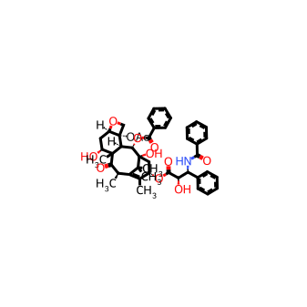 CC(=O)O[C@@]12CO[C@@H]1C[C@H](O)C1(C)C(=O)[C@H](C)C3=C(C)[C@@H](OC(=O)[C@H](O)[C@@H](NC(=O)c4ccccc4)c4ccccc4)C[C@@](O)([C@@H](OC(=O)c4ccccc4)[C@@H]12)C3(C)C